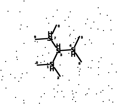 C[SiH](C)[SiH]([SiH](C)C)[SiH](C)C